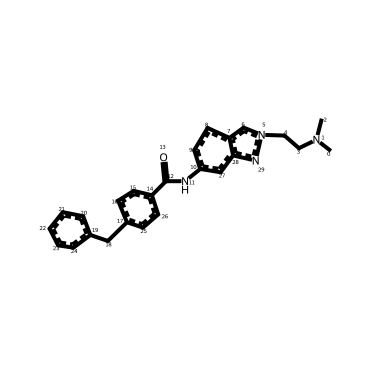 CN(C)CCn1cc2ccc(NC(=O)c3ccc(Cc4ccccc4)cc3)cc2n1